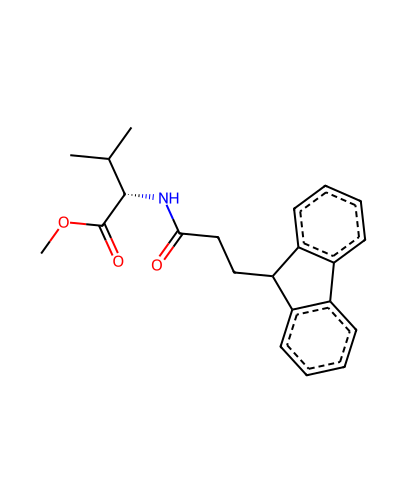 COC(=O)[C@@H](NC(=O)CCC1c2ccccc2-c2ccccc21)C(C)C